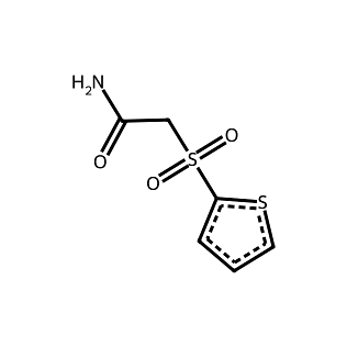 NC(=O)CS(=O)(=O)c1cccs1